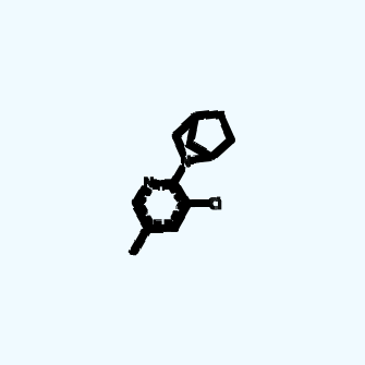 Cc1cnc(N2CC3CCC2C3)c(Cl)c1